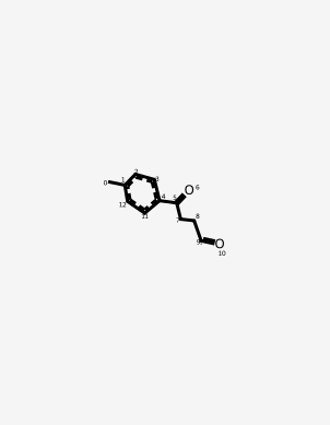 Cc1ccc(C(=O)CC[C]=O)cc1